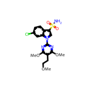 COCCc1c(OC)nc(-n2cc(S(N)(=O)=O)c3ccc(Cl)cc32)nc1OC